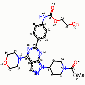 COC(=O)N1CCC(n2ncc3c(N4CCOCC4)nc(-c4ccc(NC(=O)OCCO)cc4)nc32)CC1